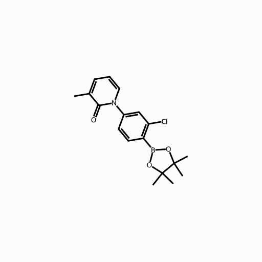 Cc1cccn(-c2ccc(B3OC(C)(C)C(C)(C)O3)c(Cl)c2)c1=O